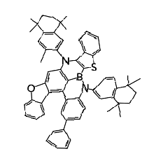 Cc1cc2c(cc1N1c3cc4oc5ccccc5c4c4c3B(c3sc5ccccc5c31)N(c1ccc3c(c1)C(C)(C)CCC3(C)C)c1ccc(-c3ccccc3)cc1-4)C(C)(C)CCC2(C)C